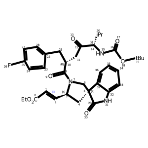 CCOC(=O)/C=C/[C@@H]1C[C@@]2(CN1C(=O)[C@@H](CC(=O)[C@@H](NC(=O)OC(C)(C)C)C(C)C)Cc1ccc(F)cc1)C(=O)Nc1ccccc12